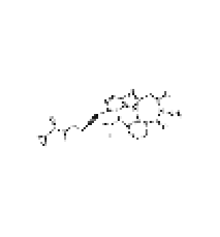 CCN1Cc2nc3ccc(C#CCCNC(=O)C4CC4)cc3n2-c2c(OC(F)F)cccc2C(=O)N1C